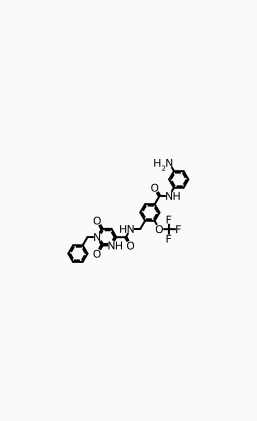 Nc1cccc(NC(=O)c2ccc(CNC(=O)c3cc(=O)n(Cc4ccccc4)c(=O)[nH]3)c(OC(F)(F)F)c2)c1